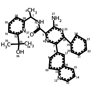 CC(NC(=O)c1nc(-c2ccc3ncccc3c2)c(-c2ccccc2)nc1N)c1cccc(C(C)(C)O)n1